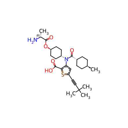 C[C@@H](N)C(=O)O[C@H]1CC[C@H](N(c2cc(C#CC(C)(C)C)sc2C(=O)O)C(=O)[C@H]2CC[C@H](C)CC2)CC1